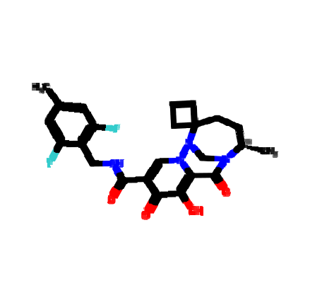 Cc1cc(F)c(CNC(=O)c2cn3c(c(O)c2=O)C(=O)N2CN3C3(CCC3)CC[C@@H]2C)c(F)c1